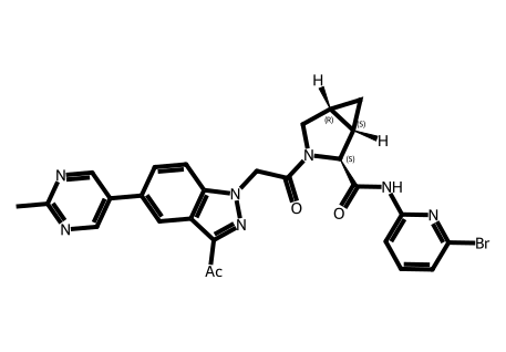 CC(=O)c1nn(CC(=O)N2C[C@@H]3C[C@@H]3[C@H]2C(=O)Nc2cccc(Br)n2)c2ccc(-c3cnc(C)nc3)cc12